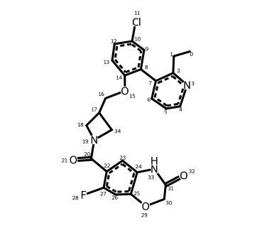 CCc1ncccc1-c1cc(Cl)ccc1OCC1CN(C(=O)c2cc3c(cc2F)OCC(=O)N3)C1